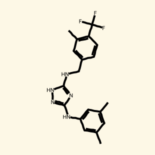 Cc1cc(C)cc(Nc2n[nH]c(NCc3ccc(C(F)(F)F)c(C)c3)n2)c1